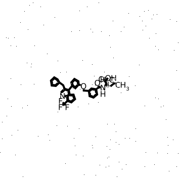 CC(C)C[C@H](NC(=O)c1cccc(COc2cccc(-c3c(Cc4ccccc4)cnc4c(C(F)(F)F)cccc34)c2)c1)C(=O)O